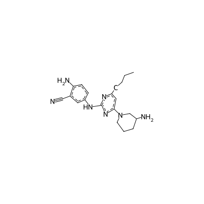 CCCCc1cc(N2CCCC(N)C2)nc(Nc2ccc(N)c(C#N)c2)n1